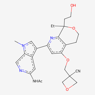 CCC1(CCO)OCCc2c(OCC3(C#N)COC3)cc(-c3cn(C)c4cnc(NC(C)=O)cc34)nc21